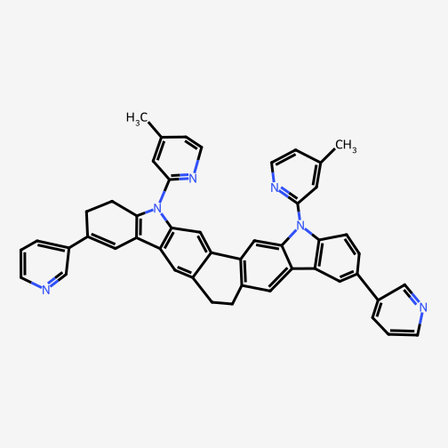 Cc1ccnc(-n2c3c(c4cc5c(cc42)-c2cc4c(cc2CC5)c2cc(-c5cccnc5)ccc2n4-c2cc(C)ccn2)C=C(c2cccnc2)CC3)c1